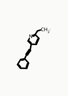 [CH2][CH]c1ccc(C#Cc2ccccc2)cn1